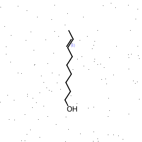 C/C=C/CCCCCCO